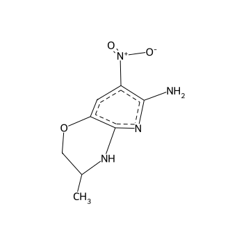 CC1COc2cc([N+](=O)[O-])c(N)nc2N1